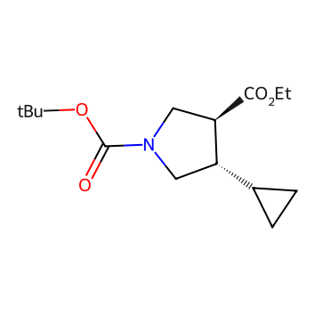 CCOC(=O)[C@@H]1CN(C(=O)OC(C)(C)C)C[C@H]1C1CC1